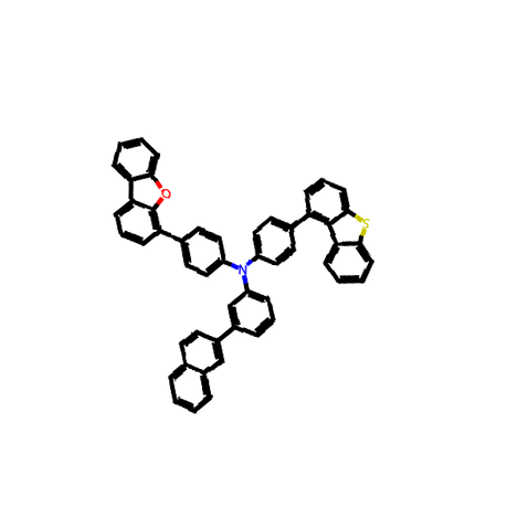 c1cc(-c2ccc3ccccc3c2)cc(N(c2ccc(-c3cccc4c3oc3ccccc34)cc2)c2ccc(-c3cccc4sc5ccccc5c34)cc2)c1